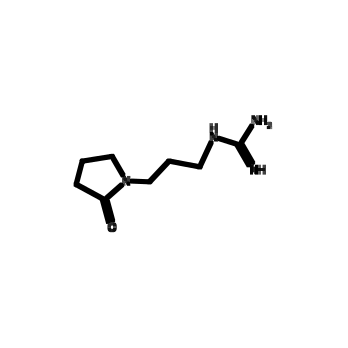 N=C(N)NCCCN1CCCC1=O